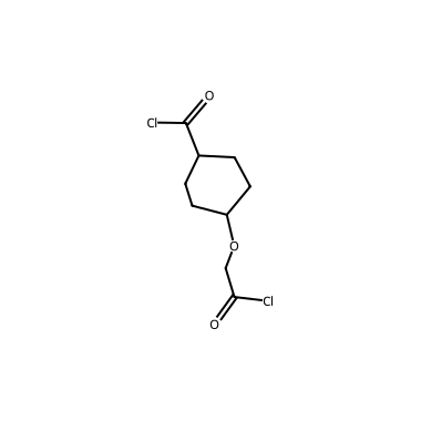 O=C(Cl)COC1CCC(C(=O)Cl)CC1